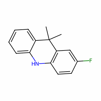 CC1(C)c2ccccc2Nc2ccc(F)cc21